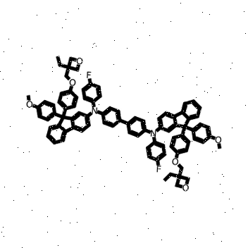 CCC1(COc2ccc(C3(c4ccc(OC)cc4)c4ccccc4-c4ccc(N(c5ccc(F)cc5)c5ccc(-c6ccc(N(c7ccc(F)cc7)c7ccc8c(c7)C(c7ccc(OC)cc7)(c7ccc(OCC9(CC)COC9)cc7)c7ccccc7-8)cc6)cc5)cc43)cc2)COC1